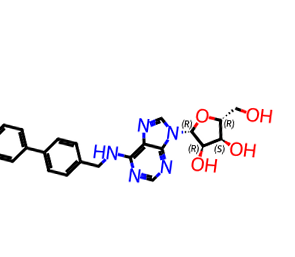 OC[C@H]1O[C@@H](n2cnc3c(NCc4ccc(-c5ccccc5)cc4)ncnc32)[C@H](O)[C@@H]1O